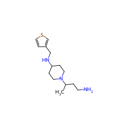 CC(CCN)N1CCC(NCc2ccsc2)CC1